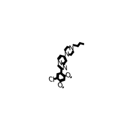 CCCCN1CCN(c2ccn3cc(-c4cc(Cl)c(OC)cc4OC)nc3c2)CC1